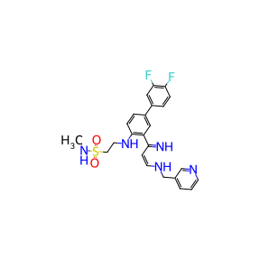 CNS(=O)(=O)CCNc1ccc(-c2ccc(F)c(F)c2)cc1C(=N)/C=C\NCc1cccnc1